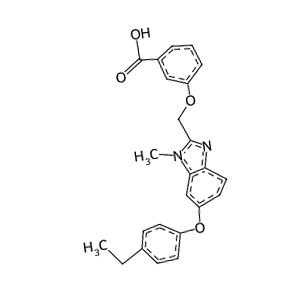 CCc1ccc(Oc2ccc3nc(COc4cccc(C(=O)O)c4)n(C)c3c2)cc1